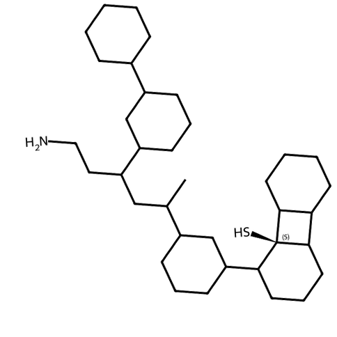 CC(CC(CCN)C1CCCC(C2CCCCC2)C1)C1CCCC(C2CCCC3C4CCCCC4[C@@]23S)C1